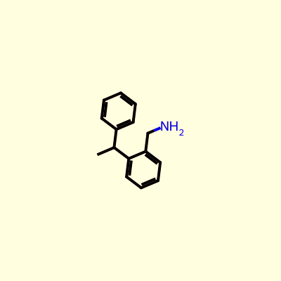 CC(c1ccccc1)c1ccccc1CN